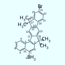 Bc1cc2c(c3ccccc13)-c1cc3c(cc1C2(C)C)-c1ccc(Br)cc1C3(C)C